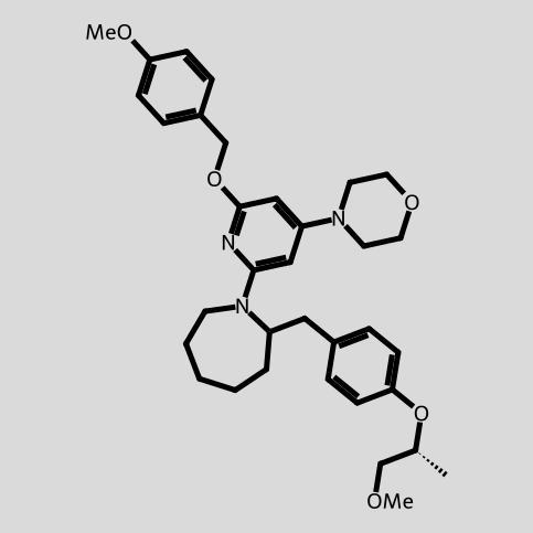 COC[C@@H](C)Oc1ccc(CC2CCCCCN2c2cc(N3CCOCC3)cc(OCc3ccc(OC)cc3)n2)cc1